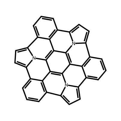 c1cc2c3c(c1)c1ccc4c5cccc6c5c5c(c3c3c7c8c(cccc8c8ccc6n8c75)c5ccc2n53)n14